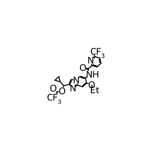 CCOc1cc2nc(C(OC(=O)C(F)(F)F)C3CC3)cn2cc1NC(=O)c1cccc(C(F)(F)F)n1